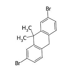 CC1(C)c2cc(Br)ccc2Cc2ccc(Br)cc21